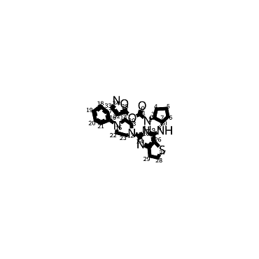 O=C(N[C@H]1CCC[C@@H]1Nc1nc(N2CCN(c3ccccc3)CC2)nc2c1SCC2)Oc1ccno1